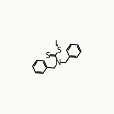 S=C(SI)N(Cc1ccccc1)Cc1ccccc1